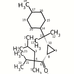 CC(C)CC(C)(C(=O)[C@H]1C[C@H]1C(C)(C)C1CCC(C)CC1)C(C)C